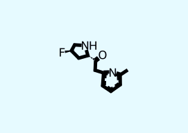 Cc1cccc(CC(=O)[C@@H]2C[C@@H](F)CN2)n1